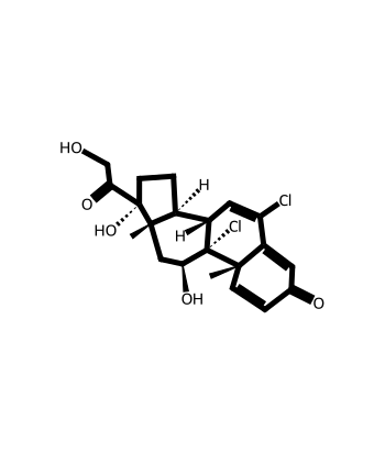 C[C@]12C=CC(=O)C=C1C(Cl)=C[C@H]1[C@@H]3CC[C@](O)(C(=O)CO)[C@@]3(C)C[C@H](O)[C@@]12Cl